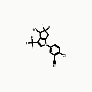 N#Cc1cc(-n2cc(C(F)(F)F)c3c2CC(F)(F)C3O)ccc1Cl